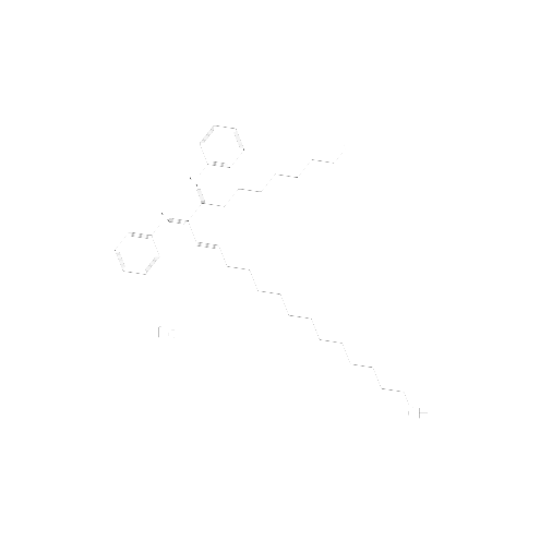 CCCCCCCCCCCCC/C=C/C(=N\c1ccccc1)C(/CCCCCCCC)=N/c1ccccc1.[Pd]